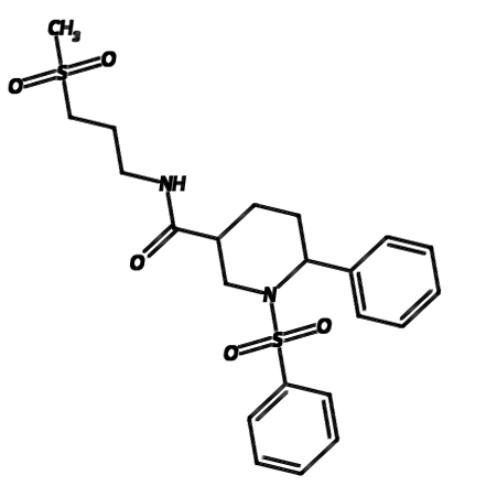 CS(=O)(=O)CCCNC(=O)C1CCC(c2ccccc2)N(S(=O)(=O)c2ccccc2)C1